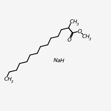 CCCCCCCCCCCCC(C)C(=O)OC.[NaH]